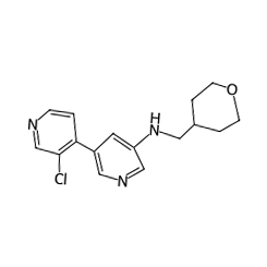 Clc1cnccc1-c1cncc(NCC2CCOCC2)c1